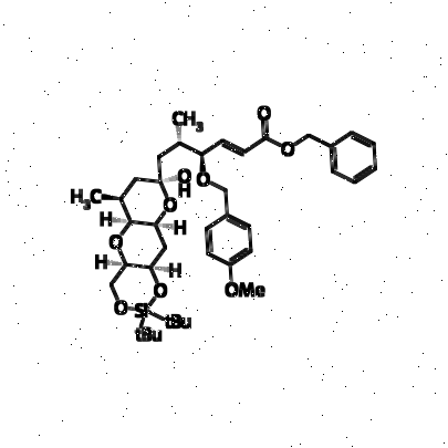 COc1ccc(CO[C@H](/C=C/C(=O)OCc2ccccc2)[C@@H](C)C[C@]2(O)C[C@H](C)[C@@H]3O[C@@H]4CO[Si](C(C)(C)C)(C(C)(C)C)O[C@@H]4C[C@@H]3O2)cc1